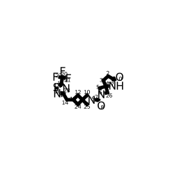 O=C1CCC2(CN(C(=O)N3CC4(CC(Cc5nsc(C(F)(F)F)n5)C4)C3)C2)N1